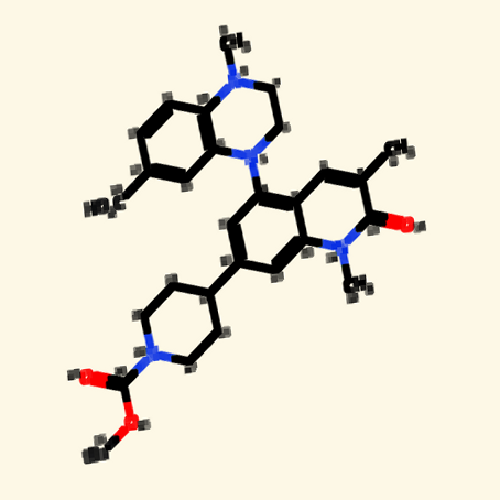 Cc1cc2c(N3CCN(C)c4ccc(C(=O)O)cc43)cc(C3CCN(C(=O)OC(C)(C)C)CC3)cc2n(C)c1=O